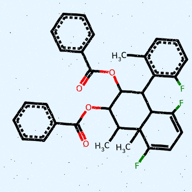 Cc1cccc(F)c1C1C(OC(=O)c2ccccc2)C(OC(=O)c2ccccc2)C(C)C2(C)C(F)=CC=C(F)C12